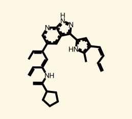 C=C/C=C\c1cc(-c2n[nH]c3ncc(C(/C=C(\C=C)NC(=C)C4CCCC4)=C/C)cc23)[nH]c1C